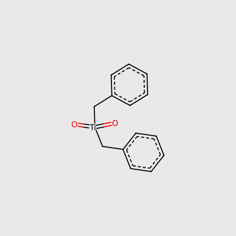 [O]=[Ti](=[O])([CH2]c1ccccc1)[CH2]c1ccccc1